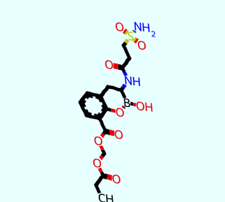 CCC(=O)OCOC(=O)c1cccc2c1OB(O)C(NC(=O)CCS(N)(=O)=O)C2